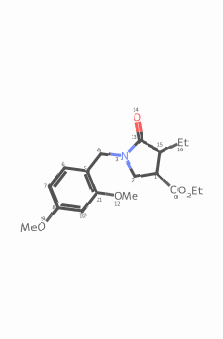 CCOC(=O)C1CN(Cc2ccc(OC)cc2OC)C(=O)C1CC